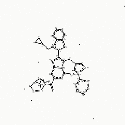 COc1cc(C(=O)N2CC3CCC2[C@@H]3N)cc2nc(-c3cc4ccccc4n3CC3CC3)n(Cc3cnn(-c4ncccn4)c3)c12